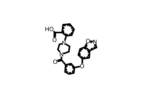 O=C(O)c1ccccc1N1CCN(C(=O)c2cccc(Oc3ccc4oncc4c3)c2)CC1